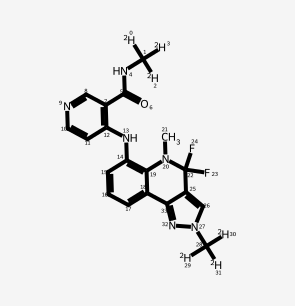 [2H]C([2H])([2H])NC(=O)c1cnccc1Nc1cccc2c1N(C)C(F)(F)c1cn(C([2H])([2H])[2H])nc1-2